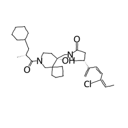 C=C(/C=C\C(Cl)=C/C)[C@H]1CC(=O)N(C[C@]2(O)CCN(C(=O)[C@H](C)CC3CCCCC3)CC23CCCC3)C1